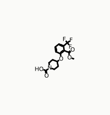 COC(=O)c1c(OC2CCN(C(=O)O)CC2)cccc1C(F)(F)F